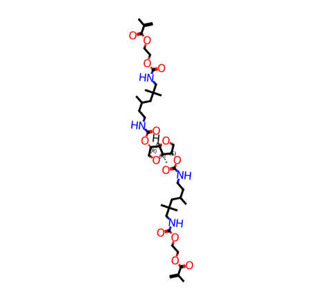 C=C(C)C(=O)OCCOC(=O)NCC(C)(C)CC(C)CCNC(=O)O[C@H]1CO[C@@H]2[C@H](OC(=O)NCCC(C)CC(C)(C)CNC(=O)OCCOC(=O)C(=C)C)CO[C@]12C